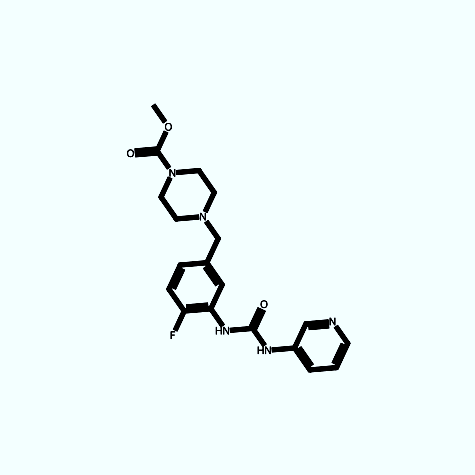 COC(=O)N1CCN(Cc2ccc(F)c(NC(=O)Nc3cccnc3)c2)CC1